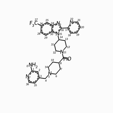 Nc1cc(CN2CCC(C(=O)N3CCC(n4c(-c5ccccn5)nc5cc(C(F)(F)F)ccc54)CC3)CC2)ccn1